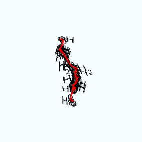 NC(=O)[C@H](CCCCNC(=O)COCCOCCNC(=O)COCCOCCNC(=O)CC[C@H](NC(=O)CCCCCCCCCCOc1ccc(C(=O)O)cc1)C(=O)O)NC(=O)[C@@H](N)CCCCNC(=O)COCCOCCNC(=O)COCCOCCNC(=O)CC[C@H](NC(=O)CCCCCCCCCCOc1ccc(C(=O)O)cc1)C(=O)O